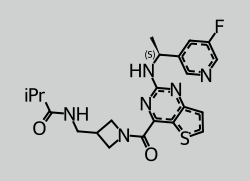 CC(C)C(=O)NCC1CN(C(=O)c2nc(N[C@@H](C)c3cncc(F)c3)nc3ccsc23)C1